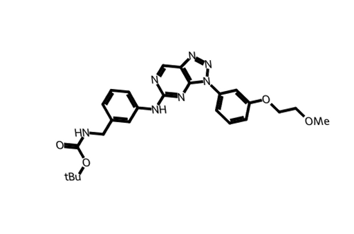 COCCOc1cccc(-n2nnc3cnc(Nc4cccc(CNC(=O)OC(C)(C)C)c4)nc32)c1